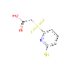 O=C(O)CS(=S)(=S)c1cccc(S)n1